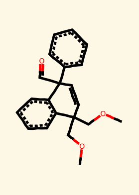 COCC1(COC)C=CC(C=O)(c2ccccc2)c2ccccc21